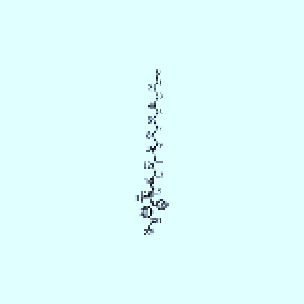 CCCCCCCCCCCCCCCCC(I)C(=O)OCC